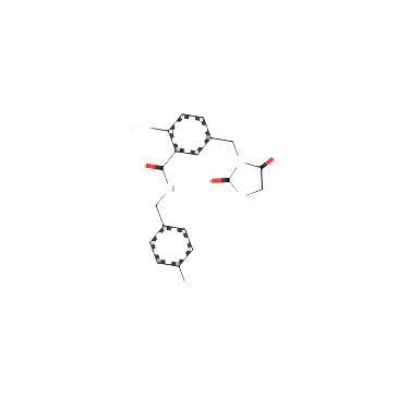 COc1ccc(CN2C(=O)CSC2=O)cc1C(=O)NCc1ccc(C(F)(F)F)cc1